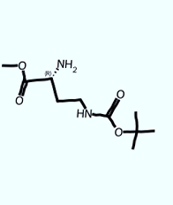 COC(=O)[C@H](N)CCNC(=O)OC(C)(C)C